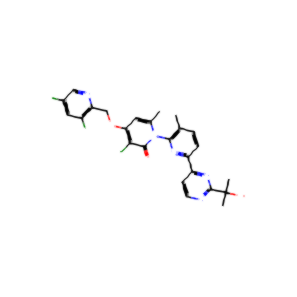 Cc1ccc(-c2ccnc(C(C)(C)O)n2)nc1-n1c(C)cc(OCc2ncc(F)cc2F)c(Cl)c1=O